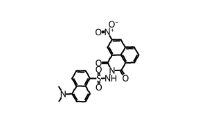 CN(C)c1cccc2c(S(=O)(=O)NN3C(=O)c4cccc5cc([N+](=O)[O-])cc(c45)C3=O)cccc12